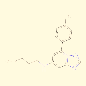 COCCCNc1cc(-c2ccc(C#N)cc2)n2ncnc2c1